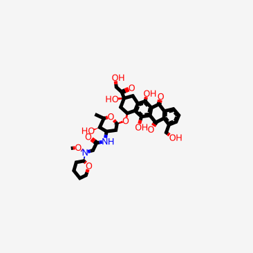 CON(CC(=O)NC1C[C@H](O[C@H]2C[C@](O)(C(=O)CO)Cc3c(O)c4c(c(O)c32)C(=O)c2c(CO)cccc2C4=O)OC(C)[C@H]1O)[C@H]1CCCCO1